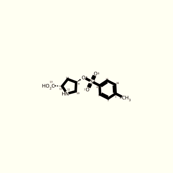 Cc1ccc(S(=O)(=O)O[C@@H]2CN[C@H](C(=O)O)C2)cc1